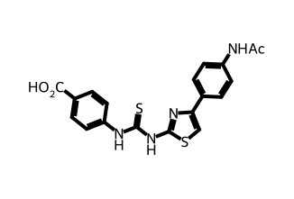 CC(=O)Nc1ccc(-c2csc(NC(=S)Nc3ccc(C(=O)O)cc3)n2)cc1